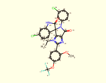 COc1cc(OC(F)(F)F)ccc1-c1nc2c(n1C(C)C)C1(C(=O)Nc3cc(Cl)ccc31)N(c1cccc(Cl)c1)C2=O